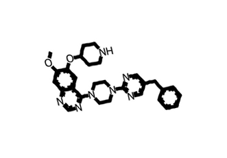 COc1cc2ncnc(N3CCN(c4ncc(Cc5ccccc5)cn4)CC3)c2cc1OC1CCNCC1